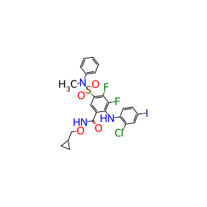 CN(c1ccccc1)S(=O)(=O)c1cc(C(=O)NOCC2CC2)c(Nc2ccc(I)cc2Cl)c(F)c1F